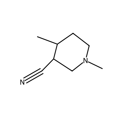 CC1CCN(C)CC1C#N